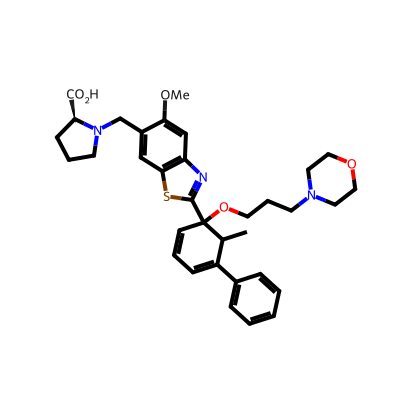 COc1cc2nc(C3(OCCCN4CCOCC4)C=CC=C(c4ccccc4)C3C)sc2cc1CN1CCC[C@H]1C(=O)O